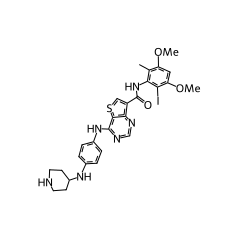 COc1cc(OC)c(I)c(NC(=O)c2csc3c(Nc4ccc(NC5CCNCC5)cc4)ncnc23)c1C